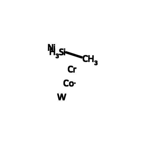 C[SiH3].[Co].[Cr].[Ni].[W]